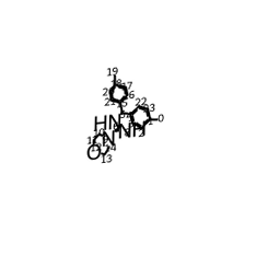 Cc1ccc(C(NC(=N)N2CCOCC2)c2ccc(C)cc2)cc1